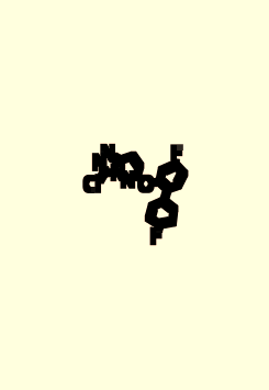 Fc1ccc(-c2ccc(F)cc2Oc2ccc3nnc(Cl)n3n2)cc1